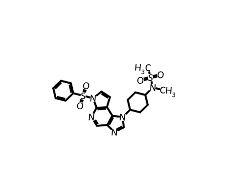 CN(C1CCC(n2cnc3cnc4c(ccn4S(=O)(=O)c4ccccc4)c32)CC1)S(C)(=O)=O